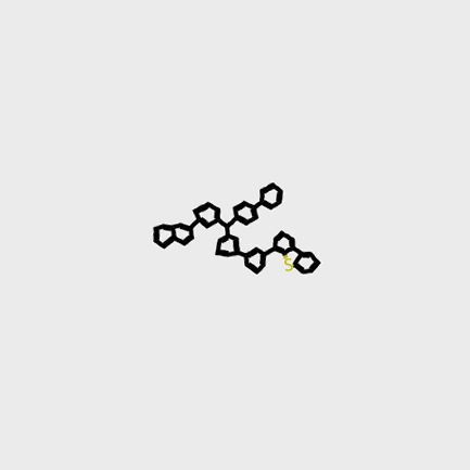 c1ccc(-c2ccc(C(c3cccc(-c4cccc(-c5cccc6c5sc5ccccc56)c4)c3)c3cccc(-c4ccc5ccccc5c4)c3)cc2)cc1